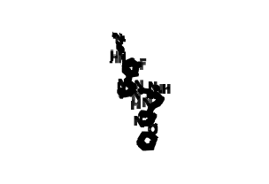 CN(C)CCNc1cc(F)cc(-c2nccc3[nH]c(-c4n[nH]c5ccc(-c6cncc(OC7CCCCC7)c6)nc45)nc23)c1